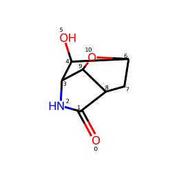 O=C1NC2C(O)C3CC1C2O3